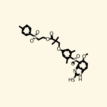 COc1ccc2[nH]c(S)nc2c1S(=O)(=O)c1c(C)cc(OCC(C)(C)C(=O)OCCS(=O)(=O)c2ccc(C)cc2)cc1C